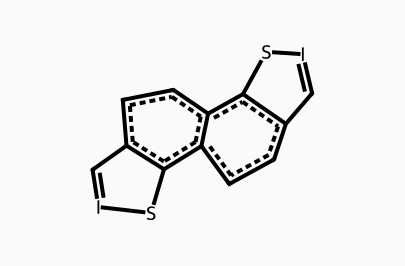 C1=ISc2c1ccc1c3c(ccc21)C=IS3